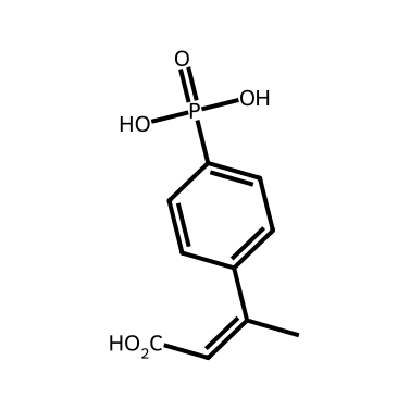 C/C(=C/C(=O)O)c1ccc(P(=O)(O)O)cc1